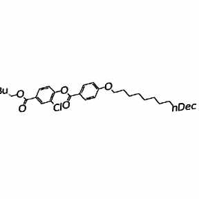 CCCCCCCCCCCCCCCCCCOc1ccc(C(=O)Oc2ccc(C(=O)OC[C@@H](C)CC)cc2Cl)cc1